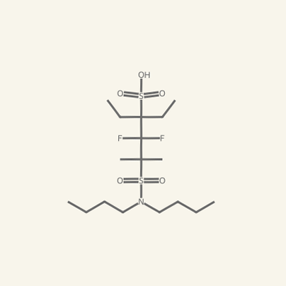 CCCCN(CCCC)S(=O)(=O)C(C)(C)C(F)(F)C(CC)(CC)S(=O)(=O)O